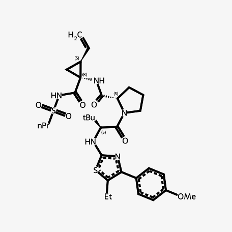 C=C[C@@H]1C[C@]1(NC(=O)[C@@H]1CCCN1C(=O)[C@@H](Nc1nc(-c2ccc(OC)cc2)c(CC)s1)C(C)(C)C)C(=O)NS(=O)(=O)CCC